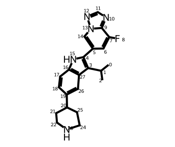 CC(C)c1c(-c2cc(F)c3ncnn3c2)[nH]c2ccc(C3CCNCC3)cc12